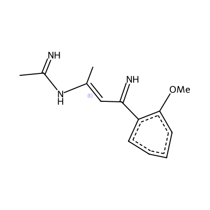 COc1ccccc1C(=N)/C=C(\C)NC(C)=N